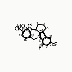 O=C(O)CC1CCCc2c1n(Cc1ccc(Cl)cc1)c1c(F)cc(F)cc21